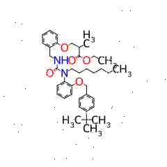 CCCCCCCN(C(=O)NCc1ccccc1OCC(C)C(=O)OCC)c1ccccc1OCc1ccc(C(C)(C)C)cc1